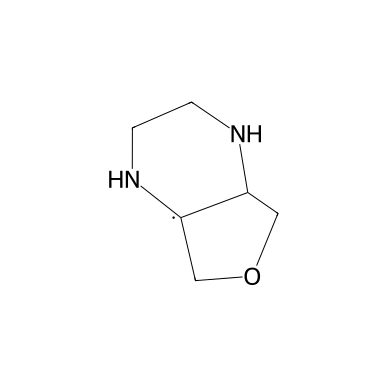 C1CNC2COC[C]2N1